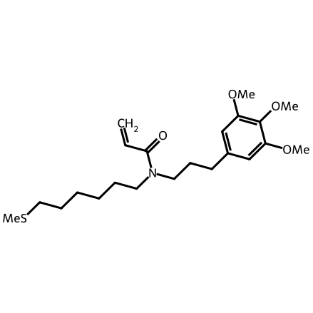 C=CC(=O)N(CCCCCCSC)CCCc1cc(OC)c(OC)c(OC)c1